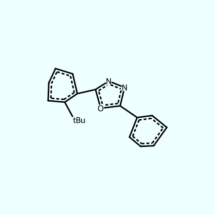 CC(C)(C)c1ccccc1-c1nnc(-c2ccccc2)o1